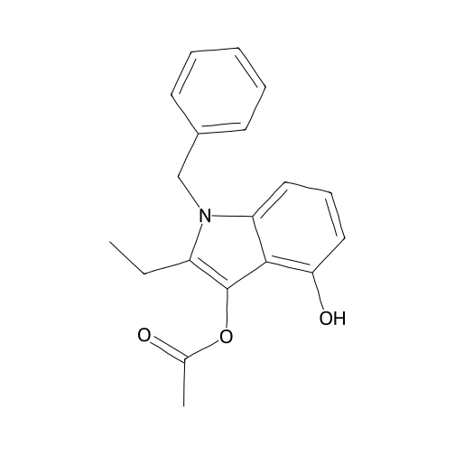 CCc1c(OC(C)=O)c2c(O)cccc2n1Cc1ccccc1